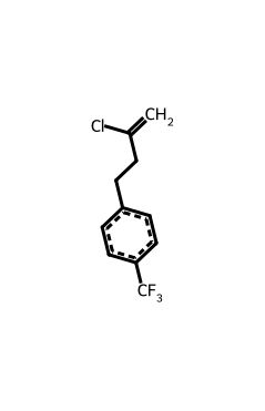 C=C(Cl)CCc1ccc(C(F)(F)F)cc1